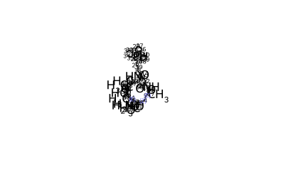 CO[C@H]1/C=C\C=C(/C)C(=O)NC2=CC(=O)C(NCCCCCC[PH](c3ccccc3)(c3ccccc3)c3ccccc3)=C(C[C@@H](C)C[C@H](OC)[C@H](O)[C@@H](C)/C=C(\C)[C@@H]1OC(N)=O)C2=O